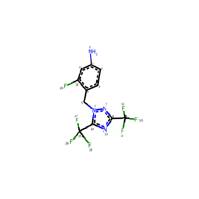 Nc1ccc(Cn2nc(C(F)(F)F)nc2C(F)(F)F)c(F)c1